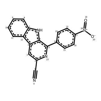 N#Cc1cc2c([nH]c3ccccc32)c(-c2ccc([N+](=O)[O-])cc2)n1